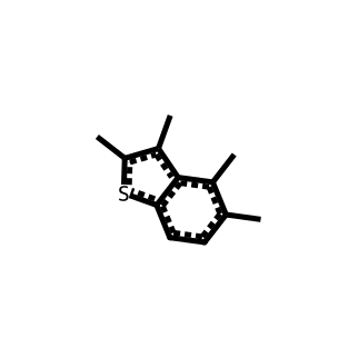 Cc1ccc2sc(C)c(C)c2c1C